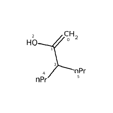 C=C(O)C(CCC)CCC